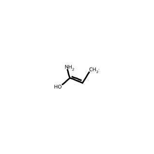 [CH2]/C=C(\N)O